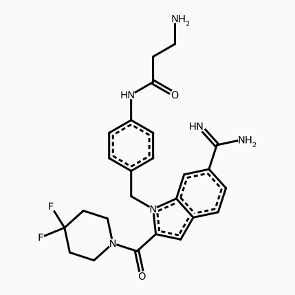 N=C(N)c1ccc2cc(C(=O)N3CCC(F)(F)CC3)n(Cc3ccc(NC(=O)CCN)cc3)c2c1